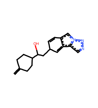 C=C1CCC(C(O)CC2C=Cc3cn4nncc4c3=C2)CC1